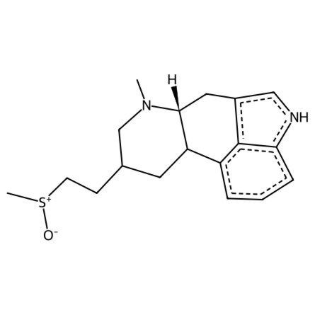 CN1CC(CC[S+](C)[O-])CC2c3cccc4[nH]cc(c34)C[C@H]21